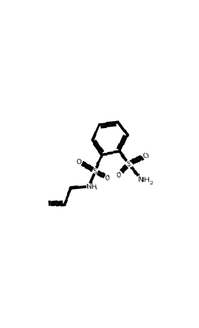 C=CCNS(=O)(=O)c1ccccc1S(N)(=O)=O